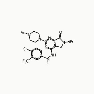 CC(=O)N1CCN(c2nc(N[C@H](C)c3ccc(Cl)c(C(F)(F)F)c3)c3c(n2)C(=O)N(C(C)C)C3)CC1